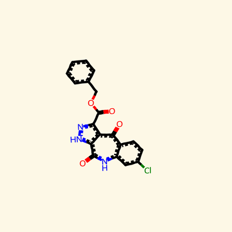 O=C(OCc1ccccc1)c1n[nH]c2c(=O)[nH]c3cc(Cl)ccc3c(=O)c12